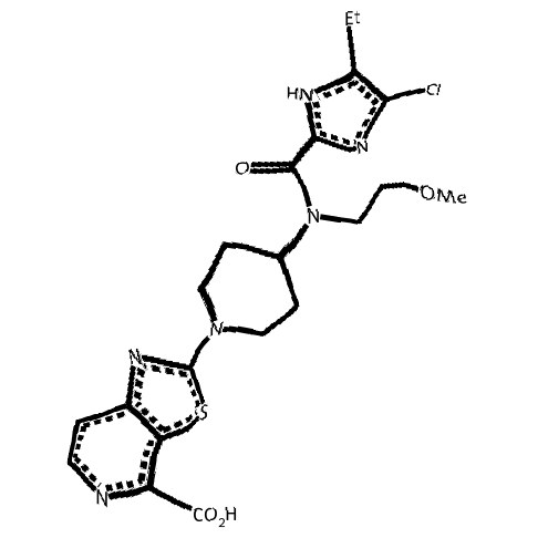 CCc1[nH]c(C(=O)N(CCOC)C2CCN(c3nc4ccnc(C(=O)O)c4s3)CC2)nc1Cl